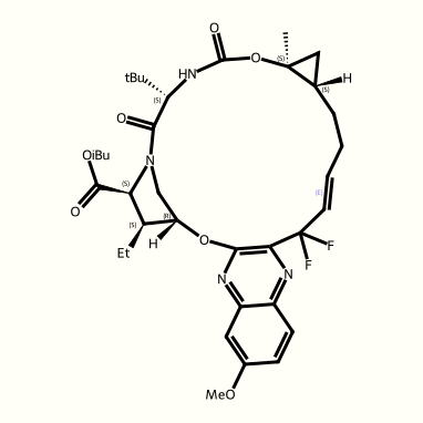 CC[C@@H]1[C@@H]2CN(C(=O)[C@H](C(C)(C)C)NC(=O)O[C@@]3(C)C[C@@H]3CC/C=C/C(F)(F)c3nc4ccc(OC)cc4nc3O2)[C@@H]1C(=O)OCC(C)C